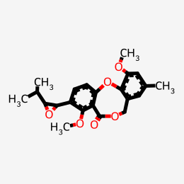 COc1cc(C)cc2c1Oc1ccc(C3OC3C(C)C)c(OC)c1C(=O)OC2